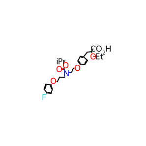 CCOC(Cc1ccc(OCCN(CCCOc2ccc(F)cc2)C(=O)OC(C)C)cc1)C(=O)O